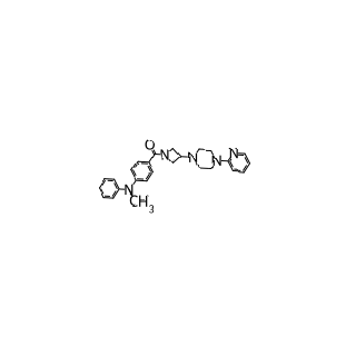 CN(c1ccccc1)c1ccc(C(=O)N2CC(N3CCN(c4ccccn4)CC3)C2)cc1